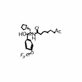 CC(=O)CCCCCC(=O)N[C@H](CN1CCCC1)[C@H](O)c1ccc(OC(F)(F)F)cc1